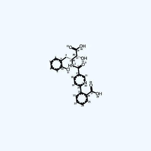 O=C(N[C@H](Cc1ccccc1Cl)[C@@H](O)C(=O)O)c1ccc(-c2ccccc2C(=O)O)nc1